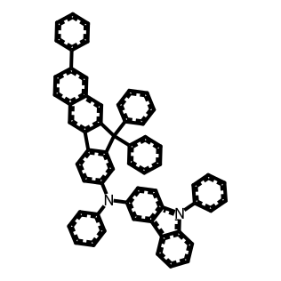 c1ccc(-c2ccc3cc4c(cc3c2)C(c2ccccc2)(c2ccccc2)c2cc(N(c3ccccc3)c3ccc5c(c3)c3ccccc3n5-c3ccccc3)ccc2-4)cc1